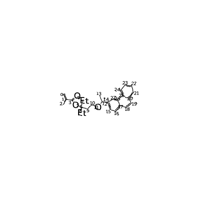 C=C(C)C(=O)OC(CC)(CC)CCOC(C)c1ccc2ccc3ccccc3c2c1